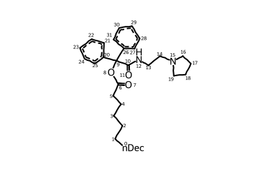 CCCCCCCCCCCCCCCC(=O)OC(C(=O)NCCN1CCCC1)(c1ccccc1)c1ccccc1